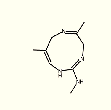 CN/C1=N/C/C(C)=N\C/C(C)=C\N1